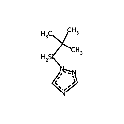 CC(C)(C)[SiH2]n1cncn1